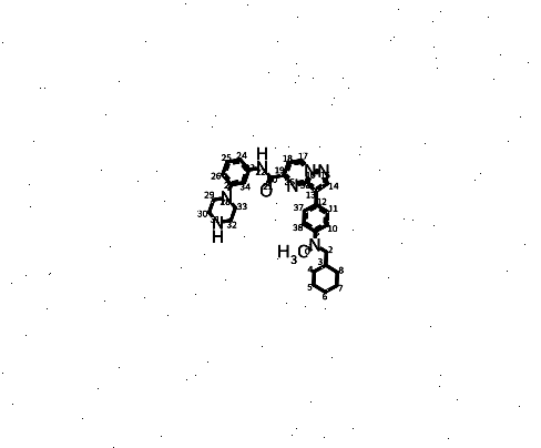 CN(CC1CCCCC1)c1ccc(-c2cnn3ccc(C(=O)Nc4cccc(N5CCNCC5)c4)nc23)cc1